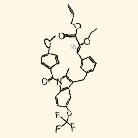 C=CCOC(=O)/C(=C/c1cccc(Cc2c(C)n(C(=O)c3ccc(OC)cc3)c3ccc(OC(F)(F)F)cc23)c1)OCC